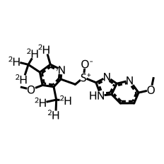 [2H]c1nc(C[S+]([O-])c2nc3nc(OC)ccc3[nH]2)c(C([2H])([2H])[2H])c(OC)c1C([2H])([2H])[2H]